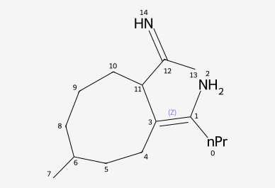 CCC/C(N)=C1\CCC(C)CCCC1C(C)=N